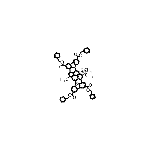 Cc1cc2c3c(cc4c([Si](C)(C)C)cc5c6c(cc1c3c46)B1c3ccc(C(=O)OCc4ccccc4)cc3-c3cc(C(=O)OCc4ccccc4)cc-5c31)B1c3ccc(C(=O)OCc4ccccc4)cc3-c3cc(C(=O)OCc4ccccc4)cc-2c31